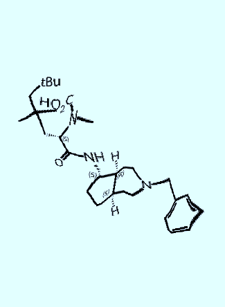 CN(C(=O)O)[C@@H](CC(C)(C)CC(C)(C)C)C(=O)N[C@H]1CC[C@@H]2CN(Cc3ccccc3)C[C@@H]21